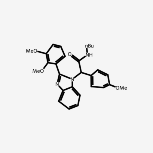 CCCCNC(=O)C(c1ccc(OC)cc1)n1c(-c2cccc(OC)c2OC)nc2ccccc21